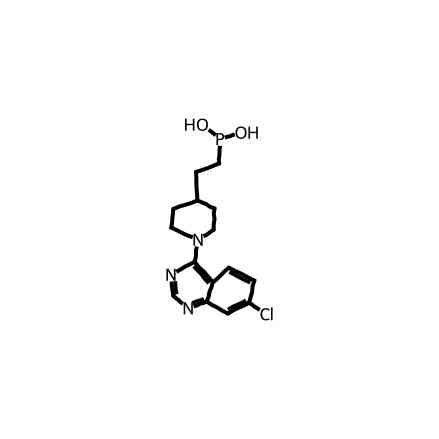 OP(O)CCC1CCN(c2ncnc3cc(Cl)ccc23)CC1